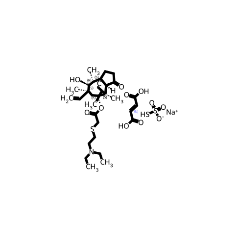 C=C[C@]1(C)C[C@@H](OC(=O)CSCCN(CC)CC)[C@@]2(C)C(C)CC[C@]3(CCC(=O)[C@H]32)[C@@H](C)[C@@H]1O.O=C(O)/C=C/C(=O)O.O=S(=O)([O-])S.[Na+]